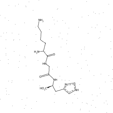 NCCCCC(N)C(=O)NCC(=O)N[C@@H](Cc1c[nH]cn1)C(=O)O